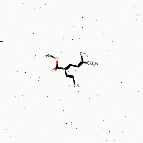 CCCCOC(=O)C(C=CC#N)=CC=C(C)C(=O)O